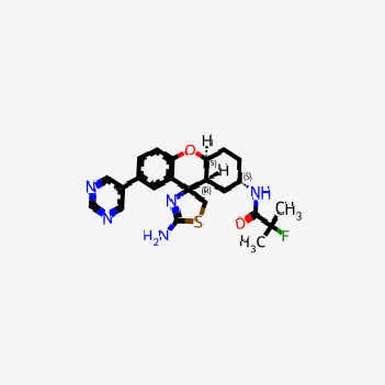 CC(C)(F)C(=O)N[C@H]1CC[C@@H]2Oc3ccc(-c4cncnc4)cc3C3(CSC(N)=N3)[C@H]2C1